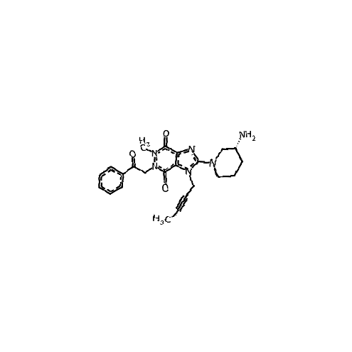 CC#CCn1c(N2CCC[C@@H](N)C2)nc2c(=O)n(C)n(CC(=O)c3ccccc3)c(=O)c21